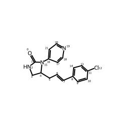 O=C1NCC(C/C=C/c2ccc(Cl)cc2)N1c1ccncc1